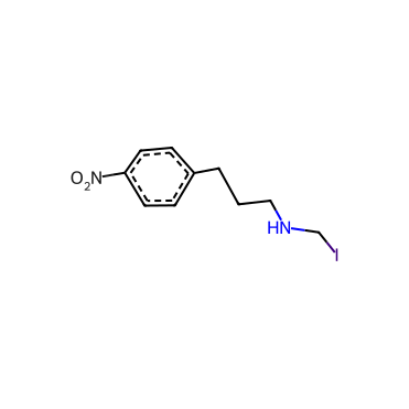 O=[N+]([O-])c1ccc(CCCNCI)cc1